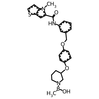 CB(O)N1CCCC(Oc2ccc(OCc3cccc(NC(=O)c4cc5sccc5n4C)c3)cc2)C1